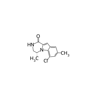 Cc1cc(Cl)c2c(c1)cc1n2[C@H](C)CNC1=O